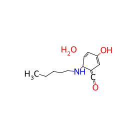 CCCCCNC1C=CC(O)=CC1=C=O.O